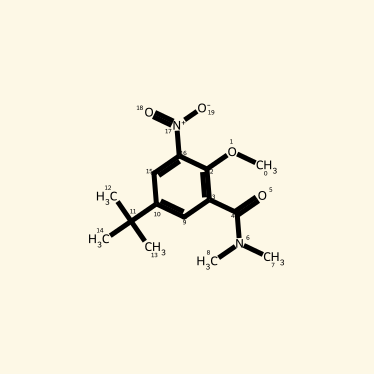 COc1c(C(=O)N(C)C)cc(C(C)(C)C)cc1[N+](=O)[O-]